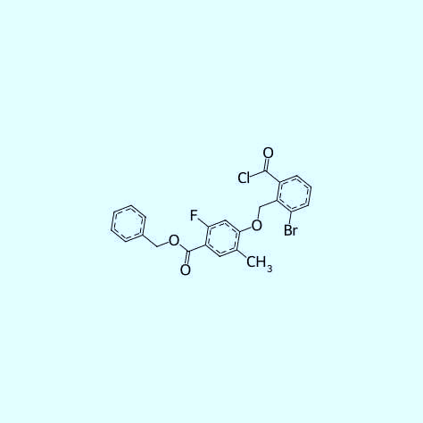 Cc1cc(C(=O)OCc2ccccc2)c(F)cc1OCc1c(Br)cccc1C(=O)Cl